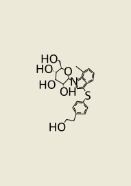 Cc1cccc2c(Sc3ccc(CCO)cc3)cn([C@@H]3O[C@H](CO)[C@@H](O)[C@H](O)[C@H]3O)c12